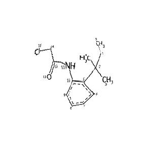 CCC(C)(C)c1ccccc1NC(=O)CCl